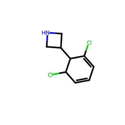 ClC1=CC=CC(Cl)C1C1CNC1